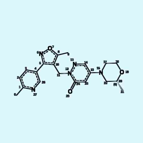 Cc1ccc(-c2noc(C)c2Cn2ncc(N3CCO[C@H](C)C3)cc2=O)cn1